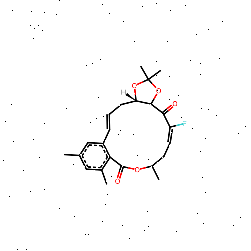 Cc1cc(C)c2c(c1)/C=C/C[C@@H]1OC(C)(C)OC1C(=O)C(F)=CCC(C)OC2=O